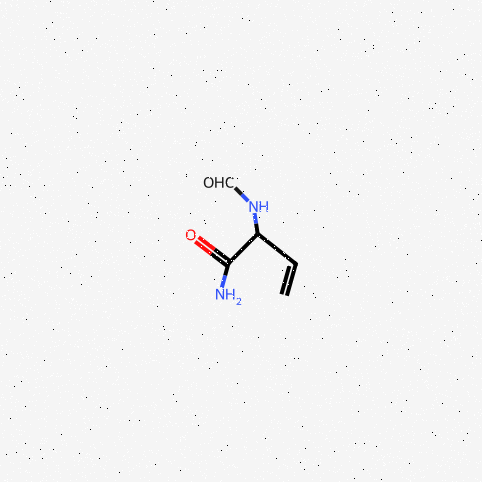 C=CC(NC=O)C(N)=O